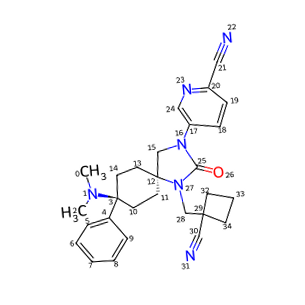 CN(C)[C@]1(c2ccccc2)CC[C@]2(CC1)CN(c1ccc(C#N)nc1)C(=O)N2CC1(C#N)CCC1